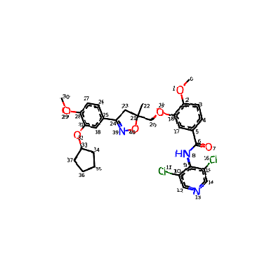 COc1ccc(C(=O)Nc2c(Cl)cncc2Cl)cc1OCC1(C)CC(c2ccc(OC)c(OC3CCCC3)c2)=NO1